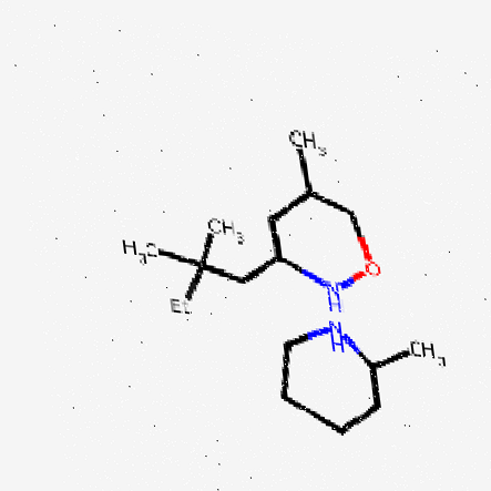 CC1CCCCN1.CCC(C)(C)CC1CC(C)CON1